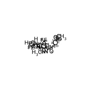 CCn1nc(C(=O)NCC2CCC(S(C)(=O)=O)CC2)c(Cl)c1-c1cnc(NC(C)(C)C(F)(F)F)cc1OC(F)F